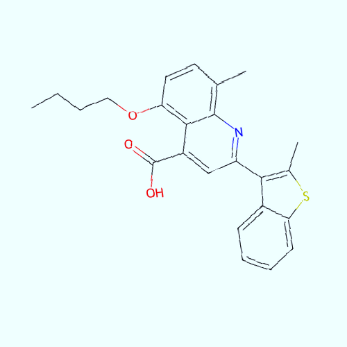 CCCCOc1ccc(C)c2nc(-c3c(C)sc4ccccc34)cc(C(=O)O)c12